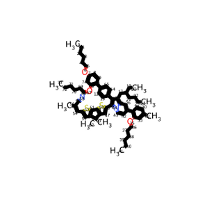 CCCCCCOc1ccc(-c2ccc(-c3c(CC(CC)CCCC)c4cc(-c5ccc(C)cc5OCCCCCC)ccn4c3-c3cc4c(s3)-c3sc(/C=C(/C)C#N)cc3C4(C)C)cc2)c(OCCCCCC)c1